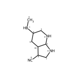 CBC1CNC2NCC(C#N)C2C1